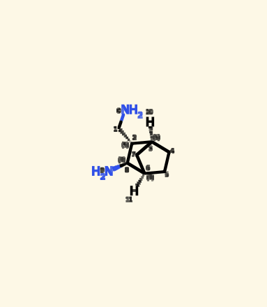 NC[C@@H]1[C@H]2CC[C@H](C2)[C@H]1N